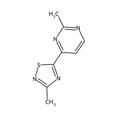 Cc1nccc(-c2nc(C)ns2)n1